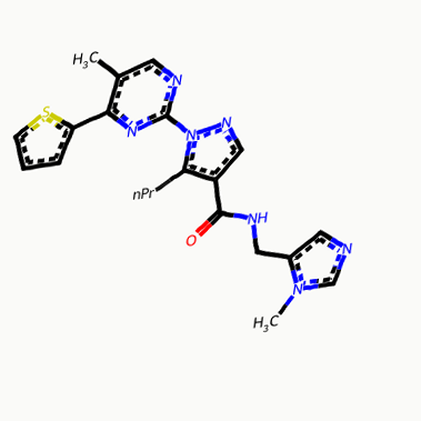 CCCc1c(C(=O)NCc2cncn2C)cnn1-c1ncc(C)c(-c2cccs2)n1